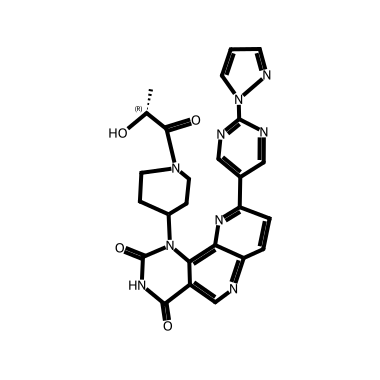 C[C@@H](O)C(=O)N1CCC(n2c(=O)[nH]c(=O)c3cnc4ccc(-c5cnc(-n6cccn6)nc5)nc4c32)CC1